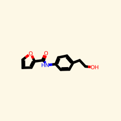 O=C(Nc1ccc(CCO)cc1)c1ccco1